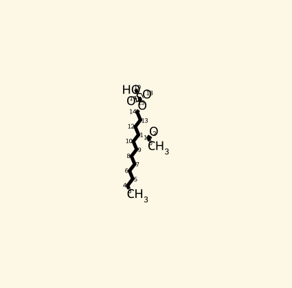 CC=O.CCCCCCCCCCCCOS(=O)(=O)O